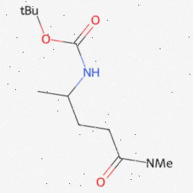 CNC(=O)CCC(C)NC(=O)OC(C)(C)C